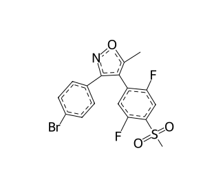 Cc1onc(-c2ccc(Br)cc2)c1-c1cc(F)c(S(C)(=O)=O)cc1F